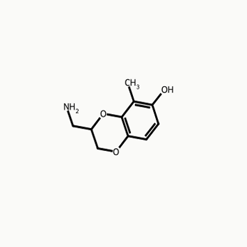 Cc1c(O)ccc2c1OC(CN)CO2